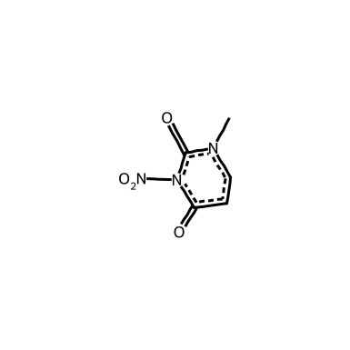 Cn1ccc(=O)n([N+](=O)[O-])c1=O